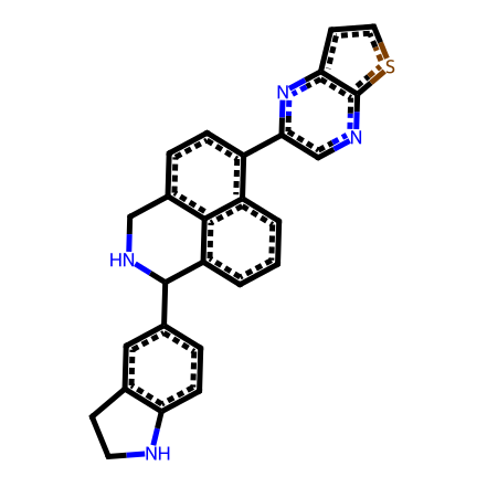 c1cc2c3c(ccc(-c4cnc5sccc5n4)c3c1)CNC2c1ccc2c(c1)CCN2